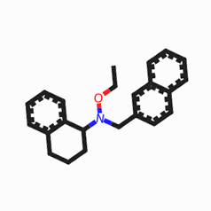 CCON(Cc1ccc2ccccc2c1)C1CCCc2ccccc21